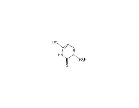 O=c1[nH]c(O)ccc1S(=O)(=O)O